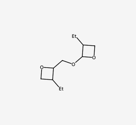 CCC1COC1COC1OCC1CC